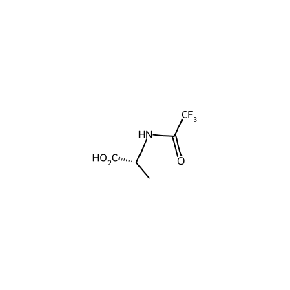 C[C@@H](NC(=O)C(F)(F)F)C(=O)O